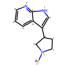 CC(=O)N1CCC(c2c[nH]c3ncccc23)C1